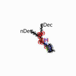 CCCCCCCCCCCCCCCC(=O)OCC(COP(=O)(O)OCCNC(=O)C1=[N+]2C(=Cc3c(C)cc(C)n3[B-]2(F)F)C=C1)OC(=O)CCCCCCCCCCCCCCC